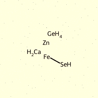 [CaH2].[Fe][SeH].[GeH4].[Zn]